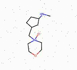 CNC1CCC(C[N+]2([O-])CCOCC2)C1